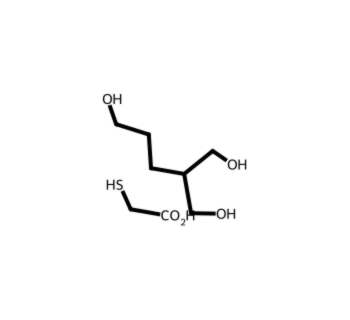 O=C(O)CS.OCCCC(CO)CO